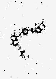 O=C1COc2ccc(CNC34CCC(CCc5c(F)cnc6ccc(OC[C@@H]7CC7C(=O)O)nc56)(CC3)OC4)nc2N1